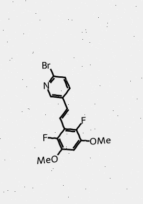 COc1cc(OC)c(F)c(C=Cc2ccc(Br)nc2)c1F